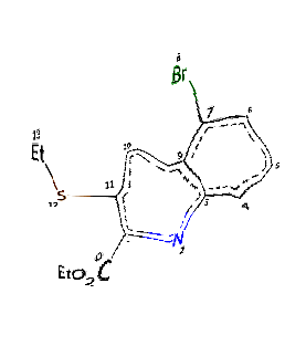 CCOC(=O)c1nc2cccc(Br)c2cc1SCC